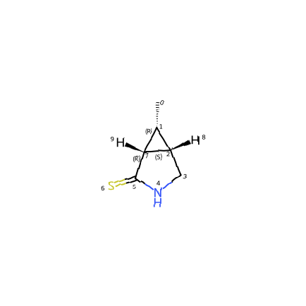 C[C@@H]1[C@@H]2CNC(=S)[C@H]12